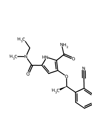 CCN(C)C(=O)c1cc(O[C@H](C)c2ccccc2C#N)c(C(N)=O)[nH]1